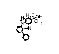 CC(C)(O)c1ccc2c(c1)ncn2-c1cccc(-c2ccccc2)c1C#N